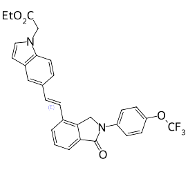 CCOC(=O)Cn1ccc2cc(/C=C/c3cccc4c3CN(c3ccc(OC(F)(F)F)cc3)C4=O)ccc21